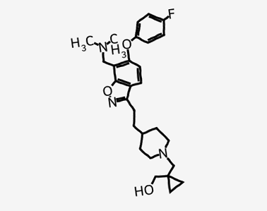 CN(C)Cc1c(Oc2ccc(F)cc2)ccc2c(CCC3CCN(CC4(CO)CC4)CC3)noc12